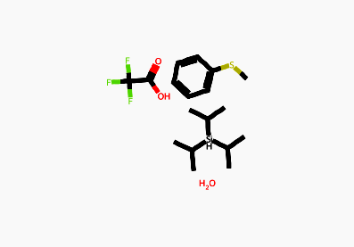 CC(C)[SiH](C(C)C)C(C)C.CSc1ccccc1.O.O=C(O)C(F)(F)F